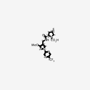 COc1nn(-c2cnc(C(F)(F)F)cn2)cc1CNC(=O)[C@H]1C[C@@H](F)CN1C(=O)O